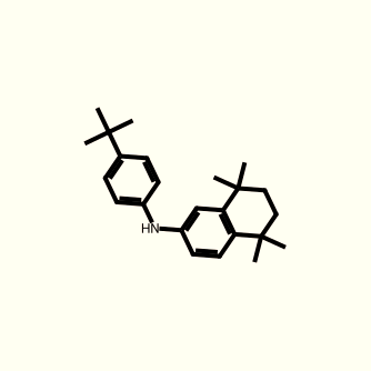 CC(C)(C)c1ccc(Nc2ccc3c(c2)C(C)(C)CCC3(C)C)cc1